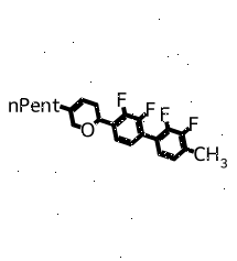 CCCCCC1=CCC(c2ccc(-c3ccc(C)c(F)c3F)c(F)c2F)OC1